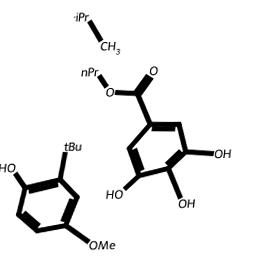 CCCOC(=O)c1cc(O)c(O)c(O)c1.COc1ccc(O)c(C(C)(C)C)c1.C[C](C)C